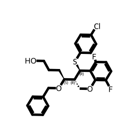 OCCC[C@H](OCc1ccccc1)[C@H]1COc2c(F)ccc(F)c2[C@@H]1Sc1ccc(Cl)cc1